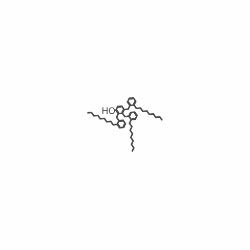 CCCCCCCCCc1ccccc1Cc1ccc(O)c(Cc2ccccc2CCCCCCCCC)c1Cc1ccccc1CCCCCCCCC